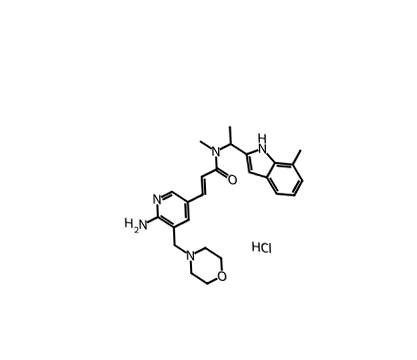 Cc1cccc2cc(C(C)N(C)C(=O)C=Cc3cnc(N)c(CN4CCOCC4)c3)[nH]c12.Cl